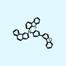 c1ccc2c(c1)ccc1ccc(N(c3ccc(-c4ccc5oc6ccccc6c5c4)cc3)c3cccc4c3sc3ccccc34)cc12